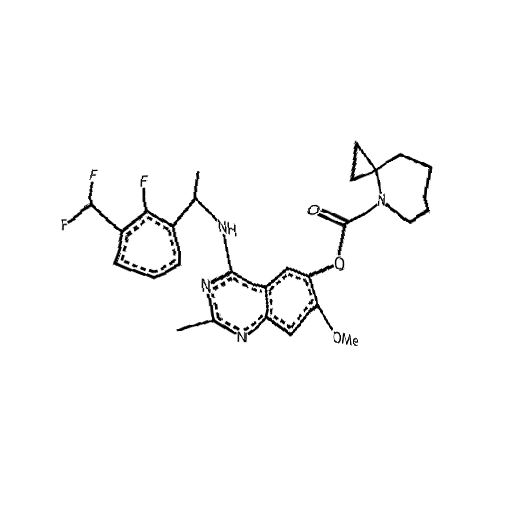 COc1cc2nc(C)nc(NC(C)c3cccc(C(F)F)c3F)c2cc1OC(=O)N1CCCCC12CC2